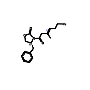 C/C(=C\CCC(C)C)CC(=O)N1C(=O)OC[C@H]1Cc1ccccc1